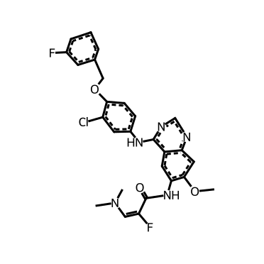 COc1cc2ncnc(Nc3ccc(OCc4cccc(F)c4)c(Cl)c3)c2cc1NC(=O)/C(F)=C\N(C)C